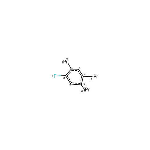 CC(C)c1cc(C(C)C)c(C(C)C)cc1F